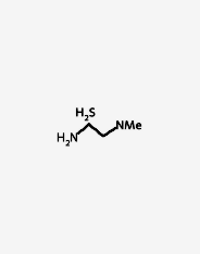 CNCCN.S